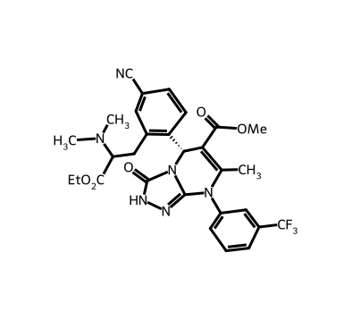 CCOC(=O)C(Cc1cc(C#N)ccc1[C@@H]1C(C(=O)OC)=C(C)N(c2cccc(C(F)(F)F)c2)c2n[nH]c(=O)n21)N(C)C